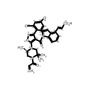 C=CC(=O)N1C[C@@H](C)N(c2onc(-c3c(Cl)cc(Cl)cc3Cl)c2C(=O)n2ccc3c(/C=C/C(=O)O)cccc32)CC1(C)C